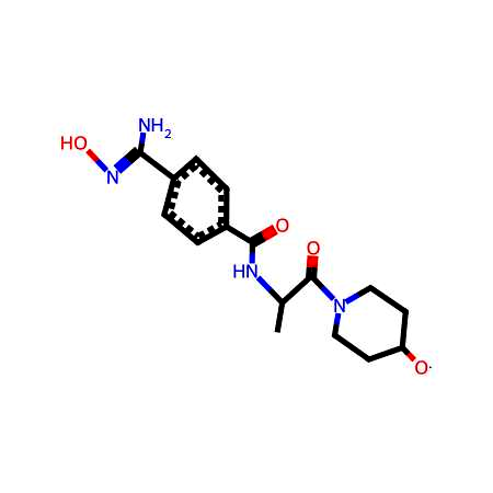 CC(NC(=O)c1ccc(C(N)=NO)cc1)C(=O)N1CCC([O])CC1